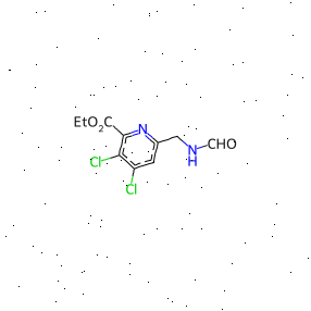 CCOC(=O)c1nc(CNC=O)cc(Cl)c1Cl